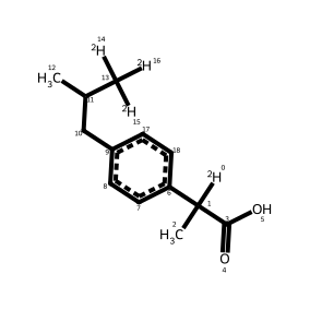 [2H]C(C)(C(=O)O)c1ccc(CC(C)C([2H])([2H])[2H])cc1